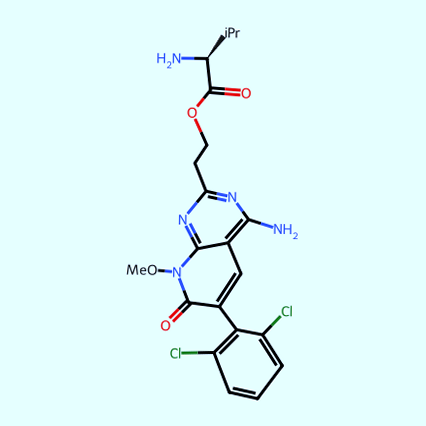 COn1c(=O)c(-c2c(Cl)cccc2Cl)cc2c(N)nc(CCOC(=O)[C@@H](N)C(C)C)nc21